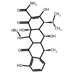 CCCCNC1C2C(=O)c3c(O)cccc3[C@H](C)C2[C@H](O)C2[C@H](N(C)C)C(O)=C(C(N)=O)C(=O)[C@@]12O